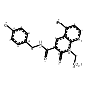 CC(C)c1ccnc2c1cc(C(=O)NCc1ccc(Cl)cc1)c(=O)n2CC(=O)O